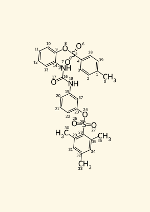 Cc1ccc(S(=O)(=O)Oc2ccccc2NC(=O)Nc2cccc(OS(=O)(=O)c3c(C)cc(C)cc3C)c2)cc1